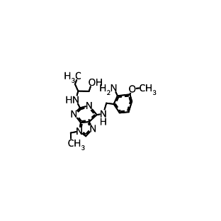 CCC(CO)Nc1nc(NCc2cccc(OC)c2N)c2ncn(CC)c2n1